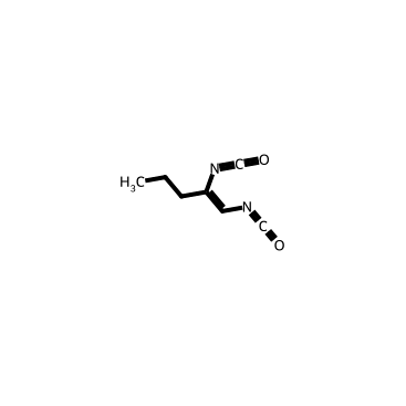 CCCC(=CN=C=O)N=C=O